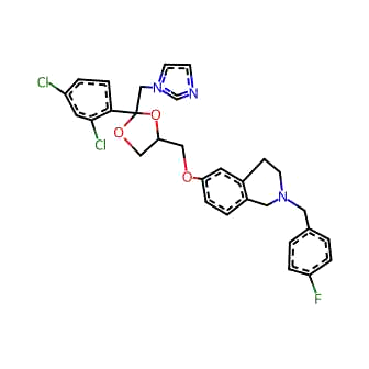 Fc1ccc(CN2CCc3cc(OCC4COC(Cn5ccnc5)(c5ccc(Cl)cc5Cl)O4)ccc3C2)cc1